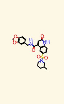 CC1CCCN(S(=O)(=O)c2ccc3[nH]c(=O)cc(C(=O)NCc4ccc5c(c4)OCO5)c3c2)C1